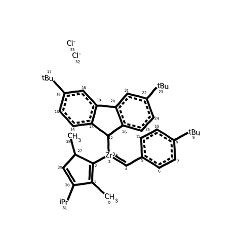 CC1=[C](/[Zr+2](=[CH]/c2ccc(C(C)(C)C)cc2)[CH]2c3ccc(C(C)(C)C)cc3-c3cc(C(C)(C)C)ccc32)C(C)C=C1C(C)C.[Cl-].[Cl-]